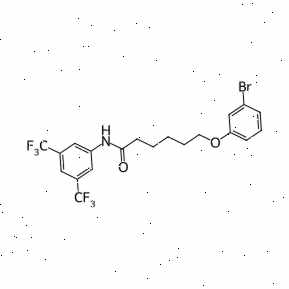 O=C(CCCCCOc1cccc(Br)c1)Nc1cc(C(F)(F)F)cc(C(F)(F)F)c1